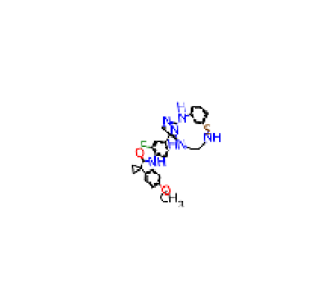 COc1ccc(C2(C(=O)Nc3ccc(-c4cnc5nc4NCCCNSc4cccc(c4)N5)cc3F)CC2)cc1